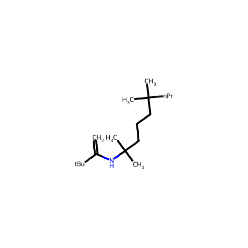 C=C(NC(C)(C)CCCC(C)(C)CCC)C(C)(C)C